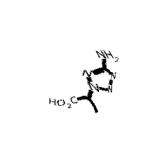 CC(C(=O)O)n1nnc(N)n1